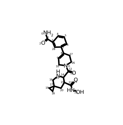 NC(=O)c1cccc(C2=CCN(C(=O)C3NCC4(CC4)CC3C(=O)NO)CC2)c1